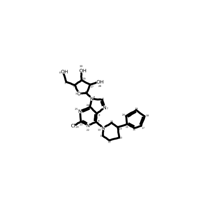 OCC1OC(n2cnc3c(N4CCCC(c5ccccc5)C4)nc(Cl)nc32)C(O)C1O